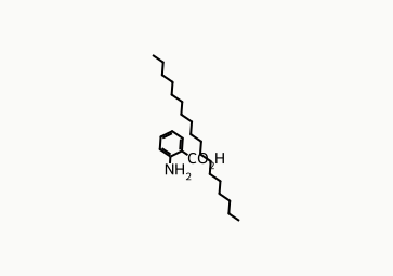 CCCCCCCCCCCCCCCCCC.Nc1ccccc1C(=O)O